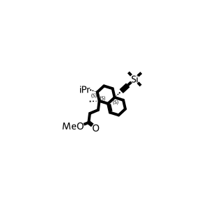 COC(=O)CC[C@]1(C)C2=CCCC[C@]2(C#C[Si](C)(C)C)CC[C@H]1C(C)C